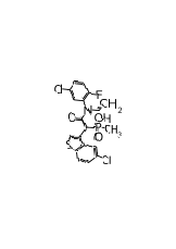 C=CN(C(=O)C(c1csc2ccc(Cl)cc12)P(C)(=O)O)c1cc(Cl)ccc1F